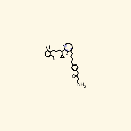 CCc1cccc(Cl)c1CCCC(C1=C(F)/C(CCCCc2ccc(CC(=O)CCN)cc2)=C\CC/C=N\1)C1CC1